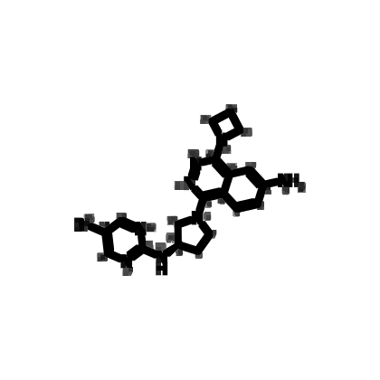 Nc1ccc2c(N3CC[C@@H](Nc4ncc(Br)cn4)C3)nnc(N3CCC3)c2c1